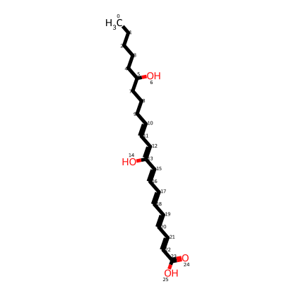 CCCCCC(O)CCC/C=C/C=C(O)/C=C/C=C/C=C/C=C/C(=O)O